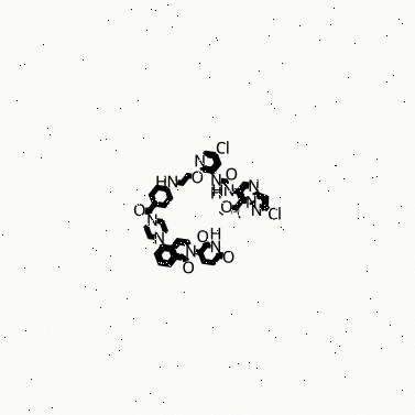 CO[C@@H](C)c1c(NC(=O)Nc2cc(Cl)cnc2OCCNC2CCC(C(=O)N3CCN(c4cccc5c(=O)n(C6CCC(=O)NC6=O)ccc45)CC3)CC2)cnc2cc(Cl)nn12